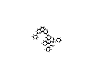 N=C(/C(=C1\NC(c2ccccc2)=Cc2cc(-c3ccc4ccc5ccc(-c6ccccc6)nc5c4n3)ccc21)c1ccccc1)c1ccccc1